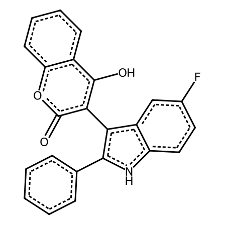 O=c1oc2ccccc2c(O)c1-c1c(-c2ccccc2)[nH]c2ccc(F)cc12